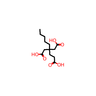 CCCCCC(CCC(=O)O)(CC(=O)O)CC(=O)O